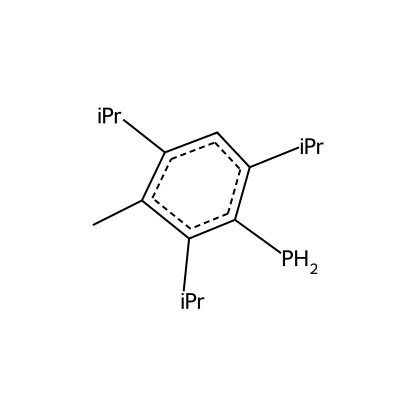 Cc1c(C(C)C)cc(C(C)C)c(P)c1C(C)C